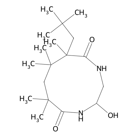 CC(C)(C)CC1(C)C(=O)NCC(O)NC(=O)C(C)(C)CC1(C)C